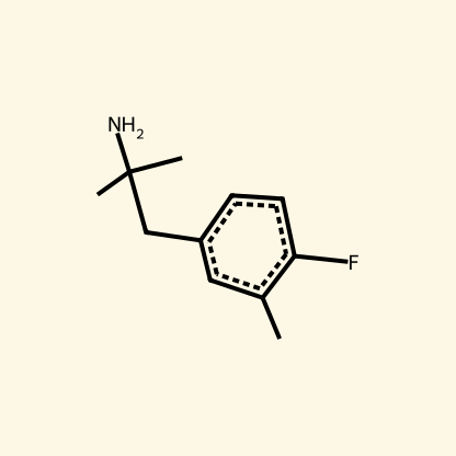 Cc1cc(CC(C)(C)N)ccc1F